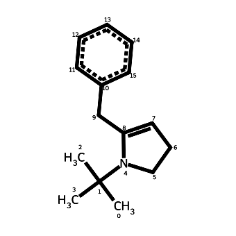 CC(C)(C)N1CCC=C1Cc1ccccc1